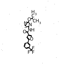 CC(C)Oc1nsc(NC(=O)c2coc(-c3cccc(C(F)(F)F)c3)c2)n1